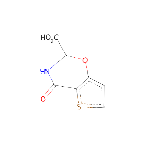 O=C1NC(C(=O)O)Oc2ccsc21